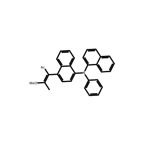 CO/C(C)=C(\C(C)=O)c1ccc(N(c2ccccc2)c2cccc3ccccc23)c2ccccc12